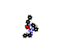 c1ccc(C2=NC(c3cccc4oc5ccc(-n6c7ccccc7c7ccc(-c8ccccc8)cc76)cc5c34)NC(c3cccc4c3sc3ccccc34)=N2)cc1